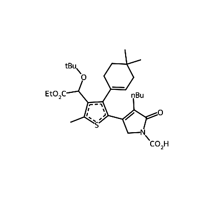 CCCCC1=C(c2sc(C)c(C(OC(C)(C)C)C(=O)OCC)c2C2=CCC(C)(C)CC2)CN(C(=O)O)C1=O